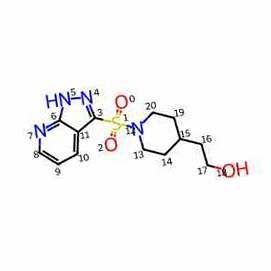 O=S(=O)(c1n[nH]c2ncccc12)N1CCC(CCO)CC1